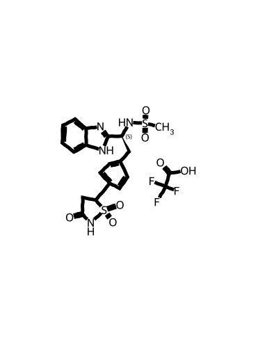 CS(=O)(=O)N[C@@H](Cc1ccc(C2CC(=O)NS2(=O)=O)cc1)c1nc2ccccc2[nH]1.O=C(O)C(F)(F)F